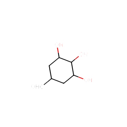 O=CC1CC(O)C(O)C(O)C1